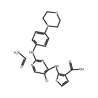 NC=O.O=C(O)c1ccsc1Nc1nc(Nc2ccc(N3CCOCC3)cc2)ncc1Cl